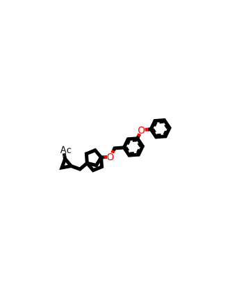 CC(=O)C1CC1CC12CCC(OCc3cccc(Oc4ccccc4)c3)(CC1)C2